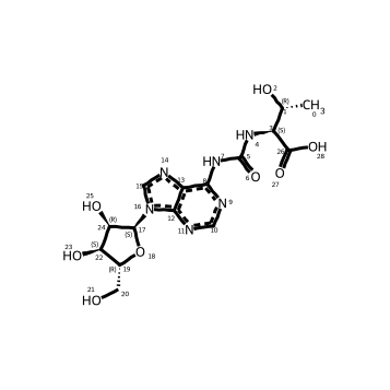 C[C@@H](O)[C@H](NC(=O)Nc1ncnc2c1ncn2[C@H]1O[C@H](CO)[C@@H](O)[C@H]1O)C(=O)O